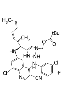 C=C(/C=C\C=C/C)[C@H](Nc1cc(Cl)c2ncc(C#N)c(Nc3ccc(F)c(Cl)c3)c2c1)C1=CN(COC(=O)C(C)(C)C)NN1